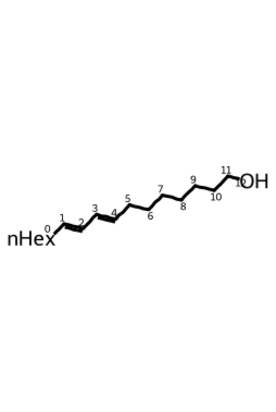 CCCCCCC=CC=CCCCCCCCO